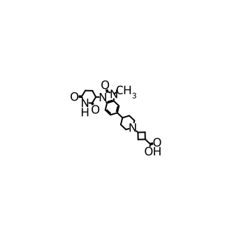 Cn1c(=O)n(C2CCC(=O)NC2=O)c2ccc(C3CCN(C4CC(C(=O)O)C4)CC3)cc21